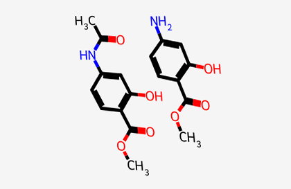 COC(=O)c1ccc(N)cc1O.COC(=O)c1ccc(NC(C)=O)cc1O